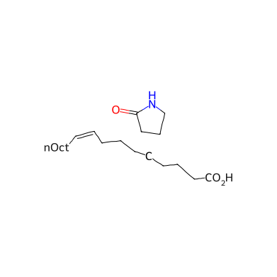 CCCCCCCC/C=C\CCCCCCCC(=O)O.O=C1CCCN1